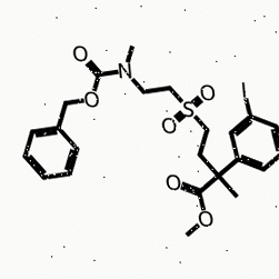 COC(=O)C(C)(CCS(=O)(=O)CCN(C)C(=O)OCc1ccccc1)c1cccc(I)c1